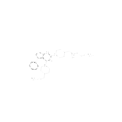 COCCNCC1CCN(c2nc(N3CCC(COC)CC3)c3c(-c4ccccc4)csc3n2)CC1